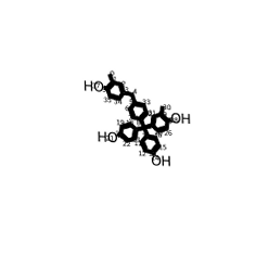 Cc1cc(Cc2ccc(C(c3ccc(O)cc3)(c3ccc(O)cc3)c3ccc(O)c(C)c3)cc2)ccc1O